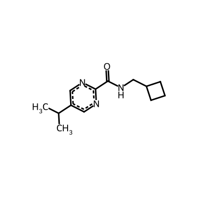 CC(C)c1cnc(C(=O)NCC2CCC2)nc1